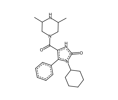 CC1CN(C(=O)c2[nH]c(=O)n(C3CCCCC3)c2-c2ccccc2)CC(C)N1